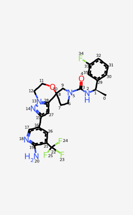 C[C@@H](NC(=O)N1CCC2(C1)OCCn1nc(-c3cnc(N)c(C(F)(F)F)c3)cc12)c1cccc(F)c1